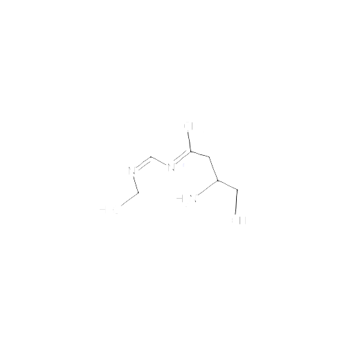 CC/N=C\N=C(/C)CC(N)CC